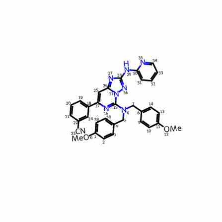 COc1ccc(CN(Cc2ccc(OC)cc2)c2nc(-c3cccc(C#N)c3)cc3nc(Nc4ccccn4)nn23)cc1